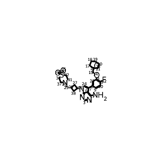 Nc1ncnc2c1c(-c1ccc(F)c(OCC34CCC(CC3)O4)c1)cn2[C@H]1C[C@@H](CN2CCS(=O)(=O)CC2)C1